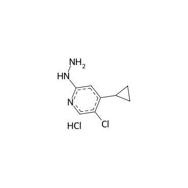 Cl.NNc1cc(C2CC2)c(Cl)cn1